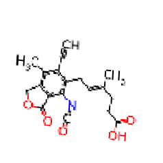 C#Cc1c(C)c2c(c(N=C=O)c1C/C=C(\C)CCC(=O)O)C(=O)OC2